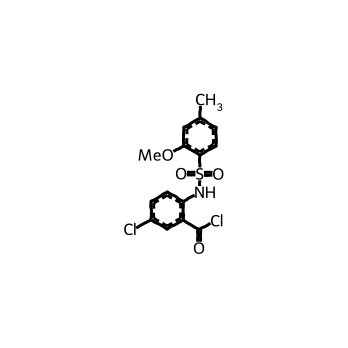 COc1cc(C)ccc1S(=O)(=O)Nc1ccc(Cl)cc1C(=O)Cl